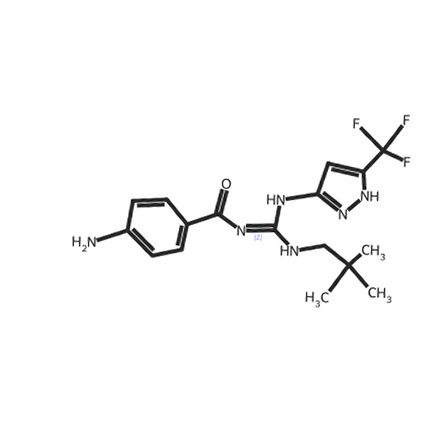 CC(C)(C)CN/C(=N/C(=O)c1ccc(N)cc1)Nc1cc(C(F)(F)F)[nH]n1